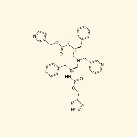 O=C(N[C@@H](Cc1ccccc1)CN(Cc1cccnc1)C[C@H](Cc1ccccc1)NC(=O)OCc1cncs1)OCc1cncs1